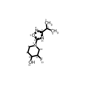 CC(C)c1noc(N2CCC(O)C(F)C2)n1